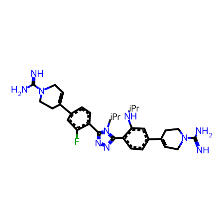 CC(C)Nc1cc(C2=CCN(C(=N)N)CC2)ccc1-c1nnc(-c2ccc(C3=CCN(C(=N)N)CC3)cc2F)n1C(C)C